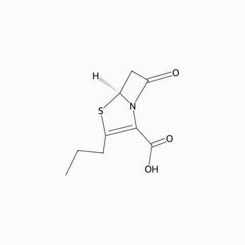 CCCC1=C(C(=O)O)N2C(=O)C[C@@H]2S1